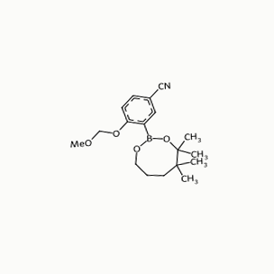 COCOc1ccc(C#N)cc1B1OCCCC(C)(C)C(C)(C)O1